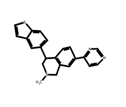 CN1Cc2cc(-c3ccncn3)ccc2C(c2ccc3sccc3c2)C1